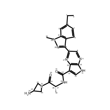 CCc1ccc2c(-c3cnc4[nH]cc(C(=O)N[C@H](C)C(=O)N5CC(N)C5)c4n3)nn(C)c2c1